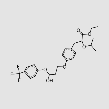 CCOC(=O)C(Cc1ccc(OCCC(O)Oc2ccc(C(F)(F)F)cc2)cc1)OC(C)C